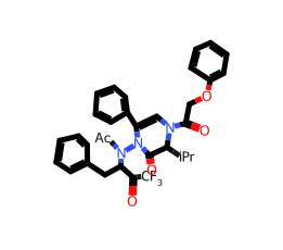 CC(=O)N(C(Cc1ccccc1)C(=O)C(F)(F)F)N1C(=O)C(C(C)C)N(C(=O)COc2ccccc2)C=C1c1ccccc1